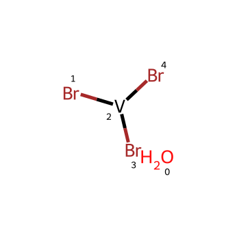 O.[Br][V]([Br])[Br]